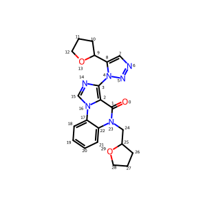 O=c1c2c(-n3nncc3C3CCCO3)ncn2c2ccccc2n1CC1CCCO1